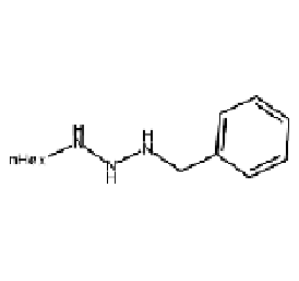 CCCCCCNNNCc1ccccc1